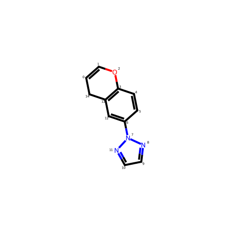 C1=COc2ccc(-n3nccn3)cc2C1